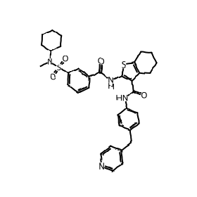 CN(C1CCCCC1)S(=O)(=O)c1cccc(C(=O)Nc2sc3c(c2C(=O)Nc2ccc(Cc4ccncc4)cc2)CCCC3)c1